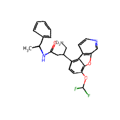 CC(NC(=O)CC(C[N+](=O)[O-])c1ccc(OC(F)F)c2oc3cnccc3c12)c1ccccc1